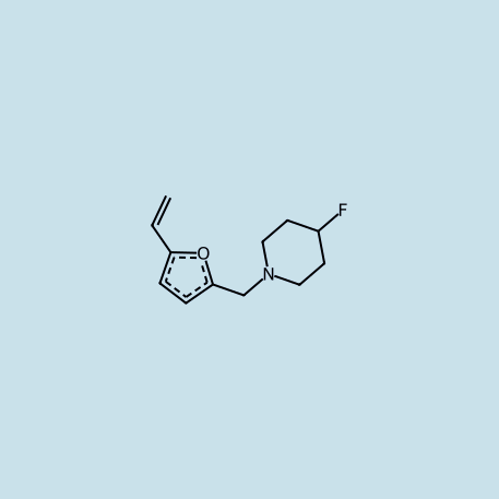 C=Cc1ccc(CN2CCC(F)CC2)o1